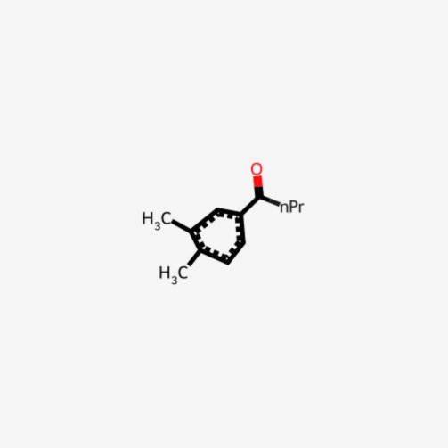 [CH2]CCC(=O)c1ccc(C)c(C)c1